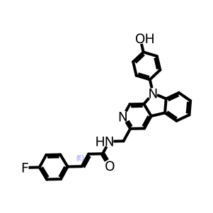 O=C(/C=C/c1ccc(F)cc1)NCc1cc2c3ccccc3n(-c3ccc(O)cc3)c2cn1